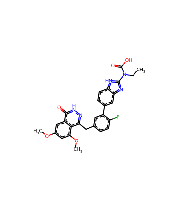 CCN(C(=O)O)c1nc2cc(-c3cc(Cc4n[nH]c(=O)c5cc(OC)cc(OC)c45)ccc3F)ccc2[nH]1